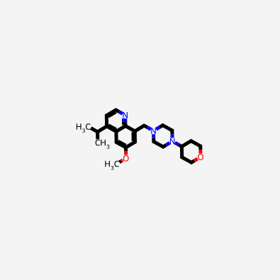 COc1cc(CN2CCN(C3CCOCC3)CC2)c2nccc(C(C)C)c2c1